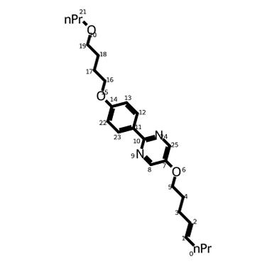 CCC/C=C/CCCOc1cnc(-c2ccc(OCCCCOCCC)cc2)nc1